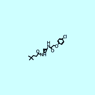 CC(C)(C)CCC(=O)NC12CC(NC(=O)COc3ccc(Cl)cc3)(C1)C2